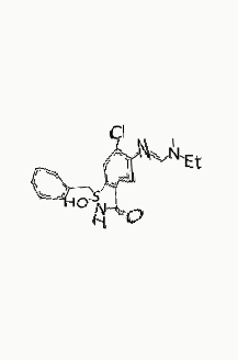 CCN(C)C=Nc1cc2c(cc1Cl)S(O)(Cc1ccccc1)NC2=O